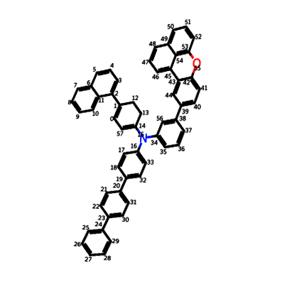 C1=C(c2cccc3ccccc23)CCC(N(c2ccc(-c3ccc(-c4ccccc4)cc3)cc2)c2cccc(-c3ccc4c(c3)-c3cccc5cccc(c35)O4)c2)=C1